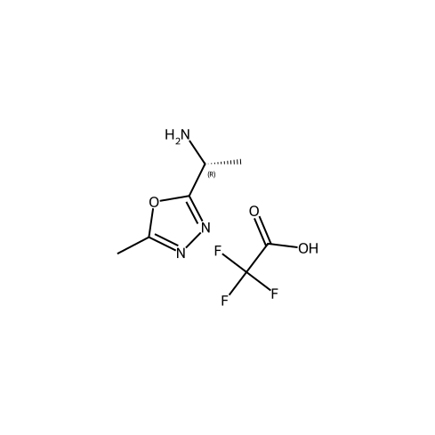 Cc1nnc([C@@H](C)N)o1.O=C(O)C(F)(F)F